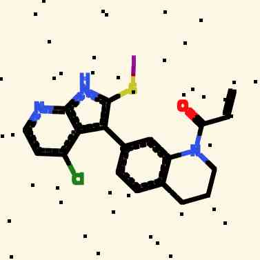 C=CC(=O)N1CCCc2ccc(-c3c(SI)[nH]c4nccc(Cl)c34)cc21